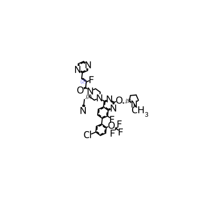 CN1CCC[C@H]1COc1nc(N2CCN(C(=O)/C(F)=C/c3cnccn3)[C@@H](CC#N)C2)c2ccc(-c3cc(Cl)ccc3OC(F)(F)F)c(F)c2n1